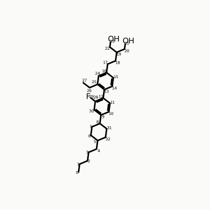 CCCCCC1CCC(c2ccc(-c3ccc(CCC(CO)CO)cc3CC)c(F)c2)CC1